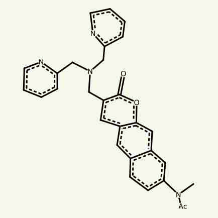 CC(=O)N(C)c1ccc2cc3cc(CN(Cc4ccccn4)Cc4ccccn4)c(=O)oc3cc2c1